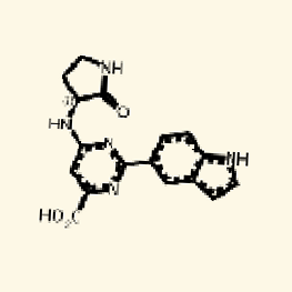 O=C(O)c1cc(N[C@H]2CCNC2=O)nc(-c2ccc3[nH]ccc3c2)n1